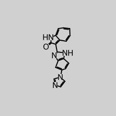 O=c1[nH]c2cccccc-2c1-c1nc2cc(-n3ccnc3)ccc2[nH]1